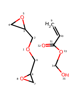 C(OCC1CO1)C1CO1.C=CC(=O)OCO